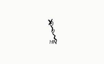 CNCCCCOCCCOC(C)(C)C